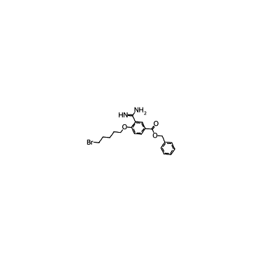 N=C(N)c1cc(C(=O)OCc2ccccc2)ccc1OCCCCCBr